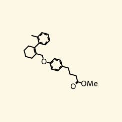 COC(=O)CCCc1ccc(OCC2=C(c3ccccc3C)CCCC2)cc1